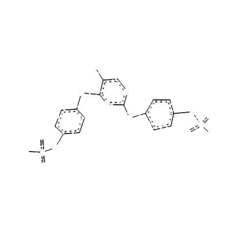 CS(=O)(=O)Nc1ccc(Nc2ncc(F)c(Nc3ccc(NS(C)(=O)=O)cc3)n2)cc1